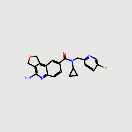 Nc1nc2ccc(C(=O)N(Cc3ccc(Br)cn3)C3CC3)cc2c2c1COC2